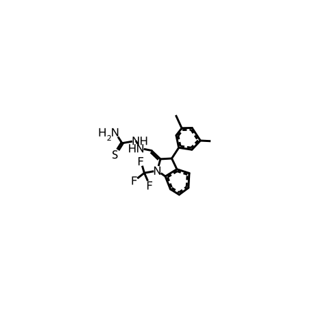 Cc1cc(C)cc(C2C(=CNNC(N)=S)N(C(F)(F)F)c3ccccc32)c1